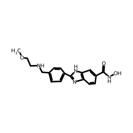 COCCNCc1ccc(-c2nc3ccc(C(=O)NO)cc3[nH]2)cc1